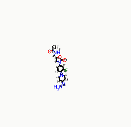 CC(=O)NC[C@H]1CN(c2ccc(N3CCC(=NN)CC3)c(F)c2)C(=O)O1